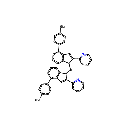 CC(C)(C)c1ccc(-c2cccc3c2C=C(c2ccccn2)[CH]3[Zr][CH]2C(c3ccccn3)=Cc3c(-c4ccc(C(C)(C)C)cc4)cccc32)cc1